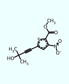 COC(=O)c1sc(C#CC(C)(C)O)cc1[N+](=O)[O-]